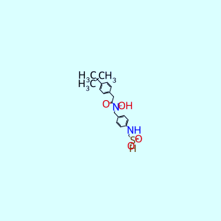 CC(C)(C)c1ccc(CC(=O)N(O)Cc2ccc(NC[SH](=O)=O)cc2)cc1